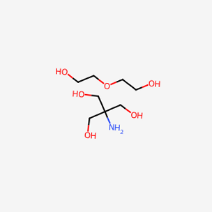 NC(CO)(CO)CO.OCCOCCO